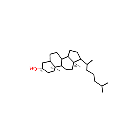 CC(C)CCCC(C)C1CCC2C3CCC4C[C@@H](O)CC[C@]4(C)C3CC[C@]12C